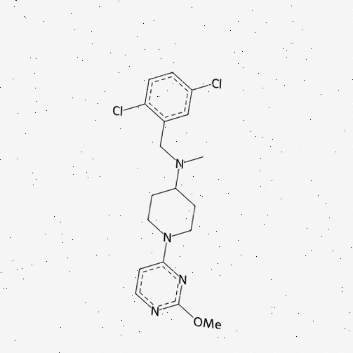 COc1nccc(N2CCC(N(C)Cc3cc(Cl)ccc3Cl)CC2)n1